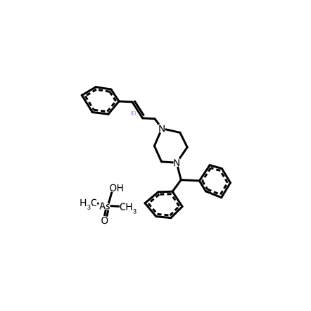 C(=C\c1ccccc1)/CN1CCN(C(c2ccccc2)c2ccccc2)CC1.C[As](C)(=O)O